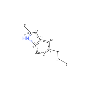 CCCc1ccc2[nH]c(C)cc2c1